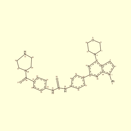 CC(C)n1ccc2c(N3CCOCC3)nc(-c3ccc(NC(=O)Nc4ccc(C(=O)N5CCNCC5)cc4)cc3)nc21